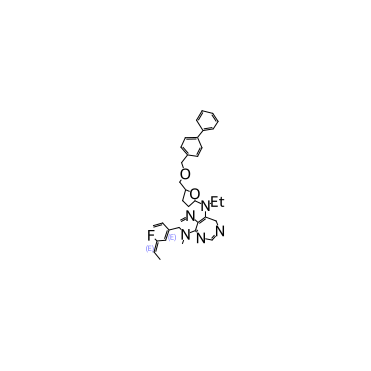 C=C/C(=C\C(F)=C/C)CN(C)C1=NC=NCC(N(CC)C2CCC(COCc3ccc(-c4ccccc4)cc3)O2)=C1N=C